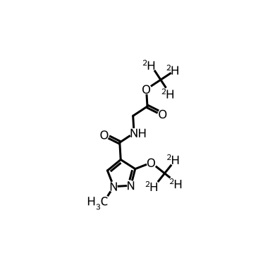 [2H]C([2H])([2H])OC(=O)CNC(=O)c1cn(C)nc1OC([2H])([2H])[2H]